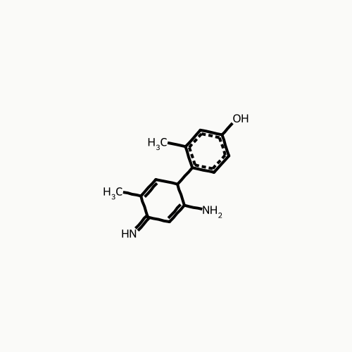 CC1=CC(c2ccc(O)cc2C)C(N)=CC1=N